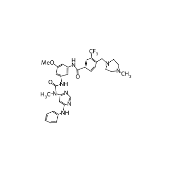 COc1cc(NC(=O)c2ccc(CN3CCN(C)CC3)c(C(F)(F)F)c2)cc(NC(=O)N(C)c2cc(Nc3ccccc3)ncn2)c1